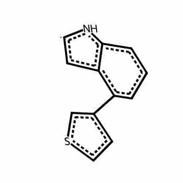 [c]1cc2c(-c3ccsc3)cccc2[nH]1